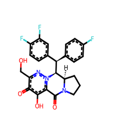 O=C1c2c(O)c(=O)c(CO)nn2[C@@H]([C@H](c2ccc(F)cc2)c2ccc(F)c(F)c2)[C@H]2CCCN12